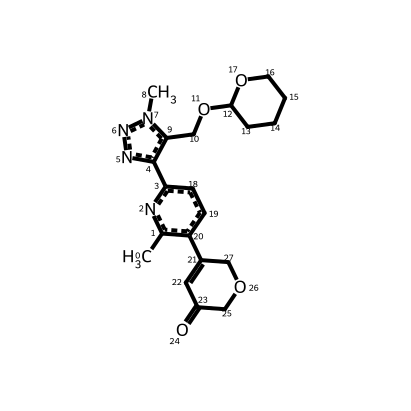 Cc1nc(-c2nnn(C)c2COC2CCCCO2)ccc1C1=CC(=O)COC1